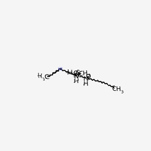 CCCCCCCC/C=C\CCCCCCCC(=O)N[C@@H](CCCCNC(=O)CCCCCCCCCCCCCCCCC)C(C)C